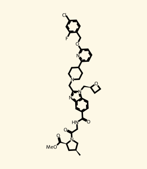 COC(=O)[C@@H]1C[C@H](C)CN1C(=O)CNC(=O)c1ccc2c(c1)nc(CN1CCC(c3cccc(OCc4ccc(Cl)cc4F)n3)CC1)n2C[C@@H]1CCO1